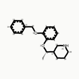 C[C@H](Oc1ccccc1OCc1ccccc1)C1CCCNC1